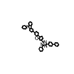 C1=CCCC(c2nc(-c3ccc(-c4ccccc4)cc3)nc(-c3ccc4c(c3)oc3cc(-c5ccc6c(c5)c5ccccc5n6-c5ccccc5)ccc34)n2)=C1